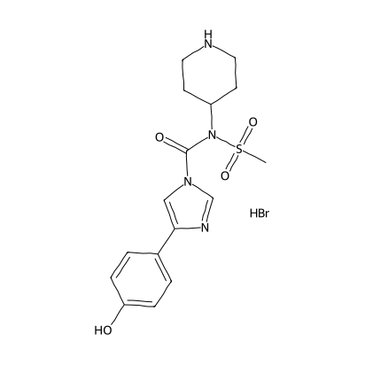 Br.CS(=O)(=O)N(C(=O)n1cnc(-c2ccc(O)cc2)c1)C1CCNCC1